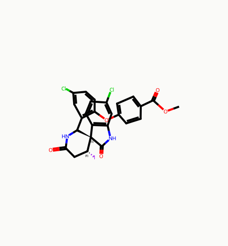 COC(=O)c1ccc(Oc2ccc(Cl)cc2C2NC(=O)C[C@@H](I)[C@]23C(=O)Nc2cc(Cl)ccc23)cc1